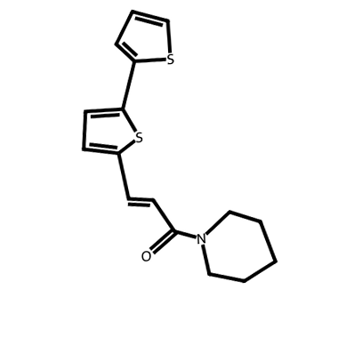 O=C(/C=C/c1ccc(-c2cccs2)s1)N1CCCCC1